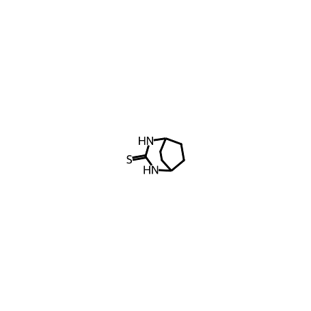 S=C1NC2CCC(CC2)N1